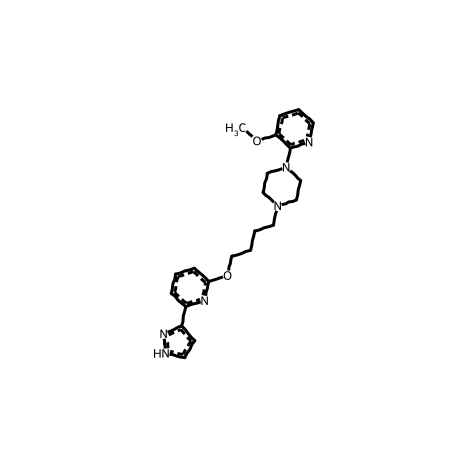 COc1cccnc1N1CCN(CCCCOc2cccc(-c3cc[nH]n3)n2)CC1